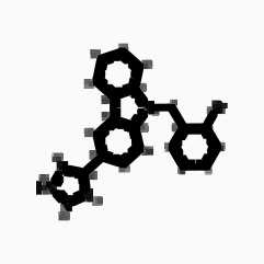 Brc1ccccc1Cn1c2ccccc2c2cc(-c3nn[nH]n3)ccc21